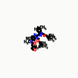 CN(C(=O)CC1CCOCC1)c1cc2c(cc1C#N)nc(-c1nn(COCC[Si](C)(C)C)c3c1C[C@@H]1C[C@]1(C)C3)n2COCC[Si](C)(C)C